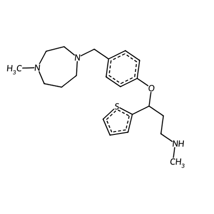 CNCCC(Oc1ccc(CN2CCCN(C)CC2)cc1)c1cccs1